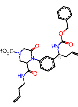 C=CCCNC(=O)C1CN(C(=O)O)CC(=O)N1c1cccc([C@H](CC=C)NC(=O)OCc2ccccc2)c1